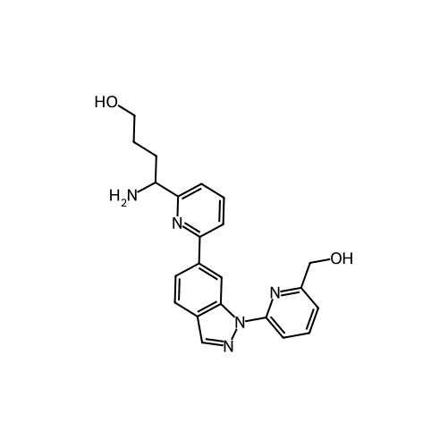 NC(CCCO)c1cccc(-c2ccc3cnn(-c4cccc(CO)n4)c3c2)n1